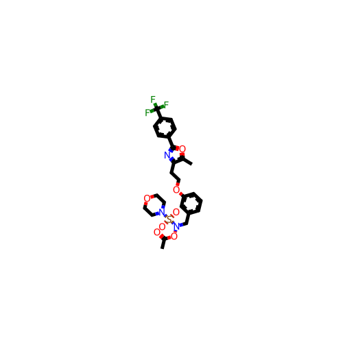 CC(=O)ON(Cc1cccc(OCCc2nc(-c3ccc(C(F)(F)F)cc3)oc2C)c1)S(=O)(=O)N1CCOCC1